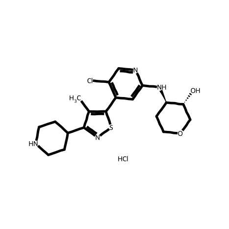 Cc1c(C2CCNCC2)nsc1-c1cc(N[C@@H]2CCOC[C@H]2O)ncc1Cl.Cl